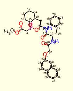 COC(=O)C[PH](=O)OC(CC1CCCCC1)NC(=O)[C@H](Cc1ccccc1)NC(=O)COc1ccc2ccccc2c1